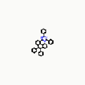 c1ccc(-c2nc(-c3ccccc3)nc(-c3cccc4c(-c5ccccc5)c(-c5ccccc5)c5ccccc5c34)n2)cc1